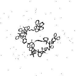 COc1ccc(C[C@H]2NC(=O)/C=C/C[C@@H]([C@H](C)[C@H]3O[C@@H]3c3ccc(CNC(=O)C(C)NC(=O)C(NC(=O)CCCC(=O)ON4C(=O)CCC4=O)C(C)C)cc3)OC(=O)[C@H](CC(C)(C)C)NC(=O)C(C)(C)CNC2=O)cc1Cl